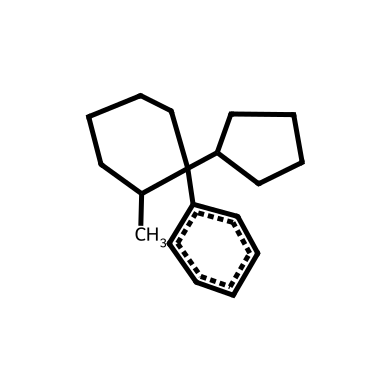 CC1CCCCC1(c1ccccc1)C1CCCC1